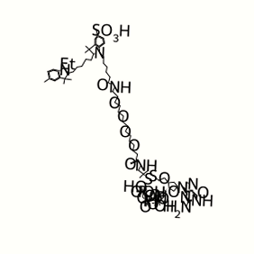 CCN1c2ccc(C)cc2C(C)(C)C1CCCCCC1N(CCCCCC(=O)NCCOCCOCCOCCOCCC(=O)NCC(C)(C)SSCOC2C[C@H](n3cnc4c(=O)[nH]c(N)nc43)O[C@@H]2COP(=O)(O)OP(=O)(O)OP(=O)(O)O)c2ccc(S(=O)(=O)O)cc2C1(C)C